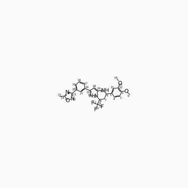 COc1ccc(C2CC(C(F)(F)F)n3nc(-c4cccc(-c5noc(C)n5)c4)cc3N2)cc1OC